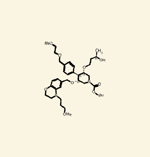 COCCCN1CCOc2ccc(CO[C@H]3CN(C(=O)OC(C)(C)C)C[C@@H](OCC[C@@H](C)O)[C@@H]3c3ccc(COCCOC)cc3)cc21